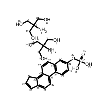 NC(CO)(CO)CO.NC(CO)(CO)CO.O=P(O)(O)Oc1ccc2c(ccc3c4c(ccc32)C=CC4)c1